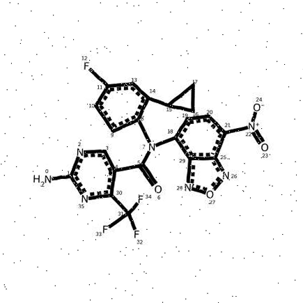 Nc1ncc(C(=O)N(c2ccc(F)cc2C2CC2)c2ccc([N+](=O)[O-])c3nonc23)c(C(F)(F)F)n1